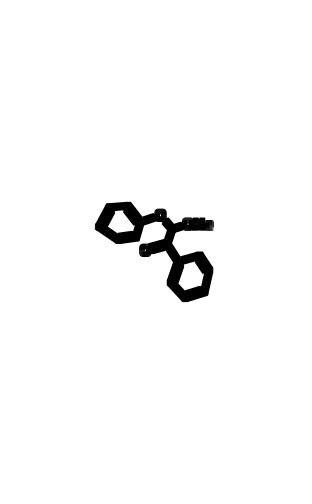 COC(Oc1ccccc1)C(=O)c1ccccc1